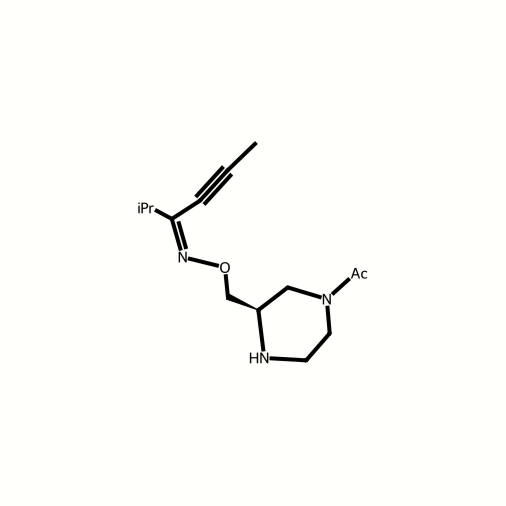 CC#C/C(=N\OC[C@H]1CN(C(C)=O)CCN1)C(C)C